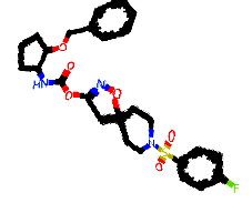 O=C(NC1CCCC1OCc1ccccc1)OC1=NOC2(CCN(S(=O)(=O)c3ccc(F)cc3)CC2)C1